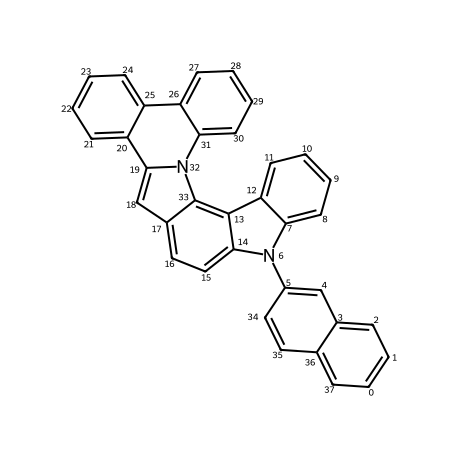 c1ccc2cc(-n3c4ccccc4c4c3ccc3cc5c6ccccc6c6ccccc6n5c34)ccc2c1